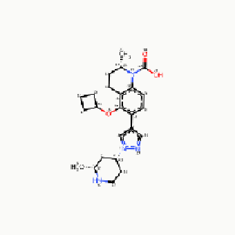 C[C@@H]1C[C@H](n2cc(-c3ccc4c(c3OC3CCC3)CC[C@H](C)N4C(=O)O)cn2)CCN1